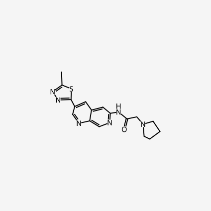 Cc1nnc(-c2cnc3cnc(NC(=O)CN4CCCC4)cc3c2)s1